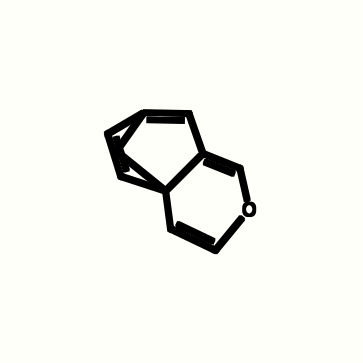 C1=CC23C=CC(=CC2=CO1)C3